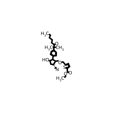 CCCCCC(=O)C(C)(C)c1ccc(C2C(COCc3ccc(C(=O)OCC)s3)[C@H](C#N)C[C@H]2O)cc1